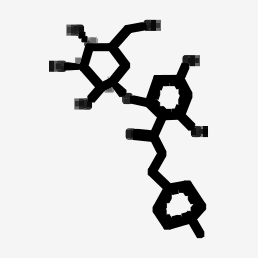 Cc1ccc(CCC(=O)c2c(O)cc(O)cc2O[C@@H]2CC(CO)[C@@H](O)[C@H](O)C2O)cc1